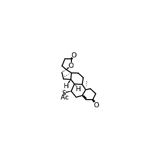 CC(=O)S[C@@H]1CC2=CC(=O)CC[C@]2(C)C2CC[C@@]3(C)[C@@H](CC[C@@]34CCC(=O)O4)[C@@H]21